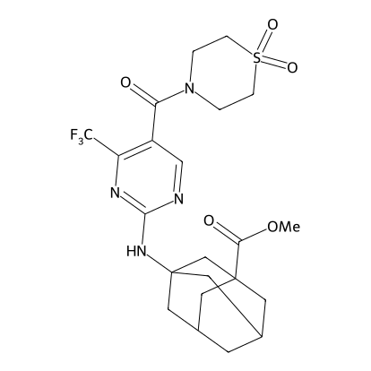 COC(=O)C12CC3CC(CC(Nc4ncc(C(=O)N5CCS(=O)(=O)CC5)c(C(F)(F)F)n4)(C3)C1)C2